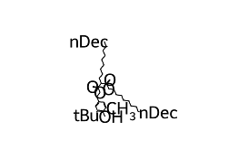 CCCCCCCCCCCCCCCCCCOC(=O)C(CCCCCCCCCCCCCCCCCC)C(=O)OCc1cc(C)c(O)c(C(C)(C)C)c1